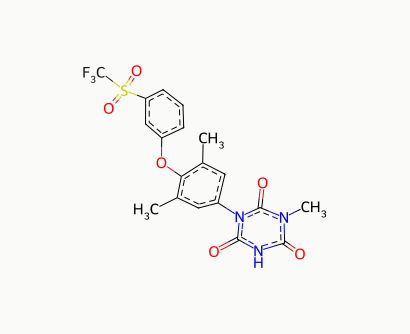 Cc1cc(-n2c(=O)[nH]c(=O)n(C)c2=O)cc(C)c1Oc1cccc(S(=O)(=O)C(F)(F)F)c1